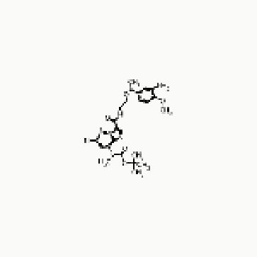 COc1ccc(C(C)OCCNC(=O)c2cnc3c(N(C)C(=O)OC(C)(C)C)cc(Cl)nn23)cc1N